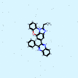 CCc1nc2cc(-c3nc4ccccc4nc3-c3ccccc3)cc3c2n1-c1ccccc1O3